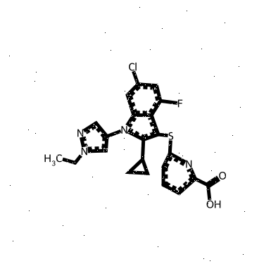 CCn1cc(-n2c(C3CC3)c(Sc3cccc(C(=O)O)n3)c3c(F)cc(Cl)cc32)cn1